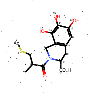 CC(=O)SCC(C)C(=O)N1Cc2c(cc(O)c(O)c2O)CC1C(=O)O